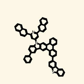 c1ccc(-c2ccc3c(c2)c2cc4c5cc(-c6ccc7sc8ccccc8c7c6)ccc5c5ccccc5c4cc2n3-c2cc(-c3ccc4ccccc4c3)nc(-c3ccc4ccccc4c3)c2)cc1